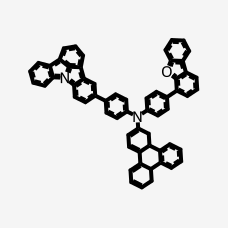 C1=CCC2C(=C1)C1=CC=C(N(c3ccc(-c4ccc5c(c4)c4cccc6c7ccccc7n5c64)cc3)c3ccc(-c4cccc5c4oc4ccccc45)cc3)CC1c1ccccc12